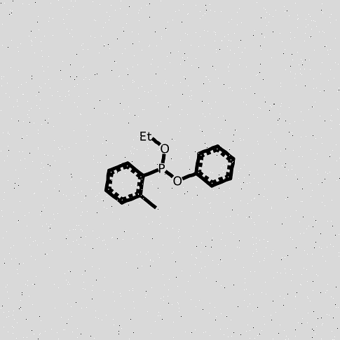 CCOP(Oc1ccccc1)c1ccccc1C